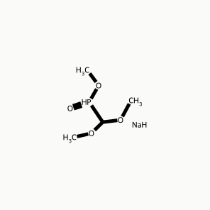 COC(OC)[PH](=O)OC.[NaH]